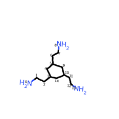 NCCC1CC(CCN)CC(CCN)C1